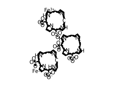 O=S(=O)([O-])c1c2nc(c(S(=O)(=O)[O-])c3ccc(cc4nc(cc5ccc1[nH]5)C=C4)[nH]3)C=C2.O=S(=O)([O-])c1c2nc(c(S(=O)(=O)[O-])c3ccc(cc4nc(cc5ccc1[nH]5)C=C4)[nH]3)C=C2.O=S(=O)([O-])c1c2nc(c(S(=O)(=O)[O-])c3ccc(cc4nc(cc5ccc1[nH]5)C=C4)[nH]3)C=C2.[Fe+3].[Fe+3]